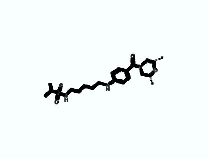 CC(C)S(=O)(=O)NCCCCCNc1ccc(C(=O)N2C[C@@H](C)O[C@@H](C)C2)cc1